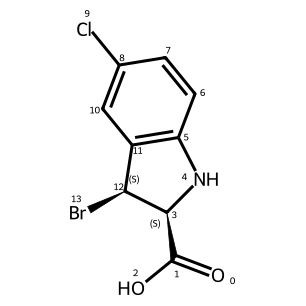 O=C(O)[C@@H]1Nc2ccc(Cl)cc2[C@@H]1Br